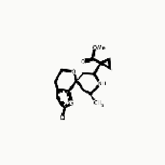 COC(=O)C1(C2C[C@]3(C[C@H](C)N2)OCCc2cc(Cl)sc23)CC1